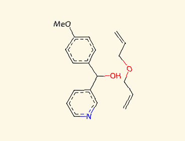 C=CCOCC=C.COc1ccc(C(O)c2cccnc2)cc1